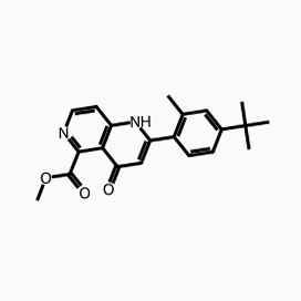 COC(=O)c1nccc2[nH]c(-c3ccc(C(C)(C)C)cc3C)cc(=O)c12